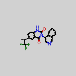 C[C@@H](c1ccc2[nH]c(=O)n(-c3cncc4ccccc34)c(=O)c2c1)C(F)(F)F